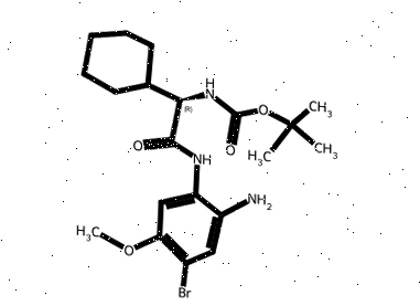 COc1cc(NC(=O)[C@H](NC(=O)OC(C)(C)C)C2CCCCC2)c(N)cc1Br